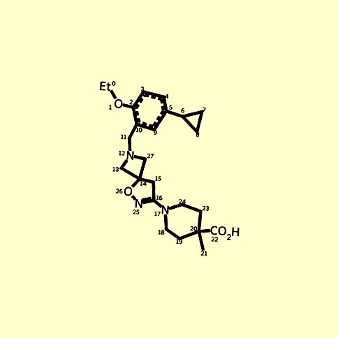 CCOc1ccc(C2CC2)cc1CN1CC2(CC(N3CCC(C)(C(=O)O)CC3)=NO2)C1